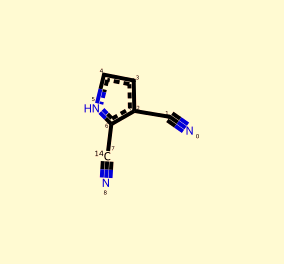 N#Cc1cc[nH]c1[14C]#N